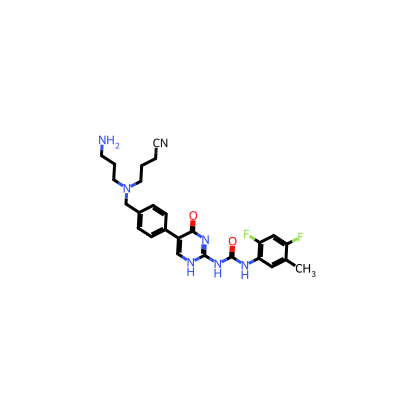 Cc1cc(NC(=O)Nc2nc(=O)c(-c3ccc(CN(CCCN)CCCC#N)cc3)c[nH]2)c(F)cc1F